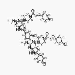 Nc1nc(N2CCN(C(=O)COc3ccc(Cl)cc3)CC2)c2nc(-c3ccc(Cl)cc3)[nH]c2n1.Nc1nc(N2CCN(C(=O)COc3ccc(Cl)cc3)CC2)c2nc(-c3cccc(Cl)c3)[nH]c2n1